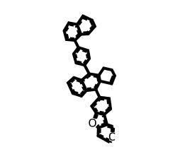 C1=Cc2c(c(-c3ccc(-c4cccc5ccccc45)cc3)c3ccccc3c2-c2ccc3c(c2)oc2ccccc23)CC1